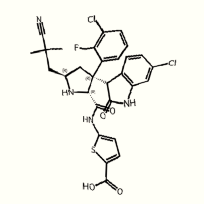 CC(C)(C#N)C[C@H]1C[C@](c2cccc(Cl)c2F)(C2C(=O)Nc3cc(Cl)ccc32)[C@H](C(=O)Nc2ccc(C(=O)O)s2)N1